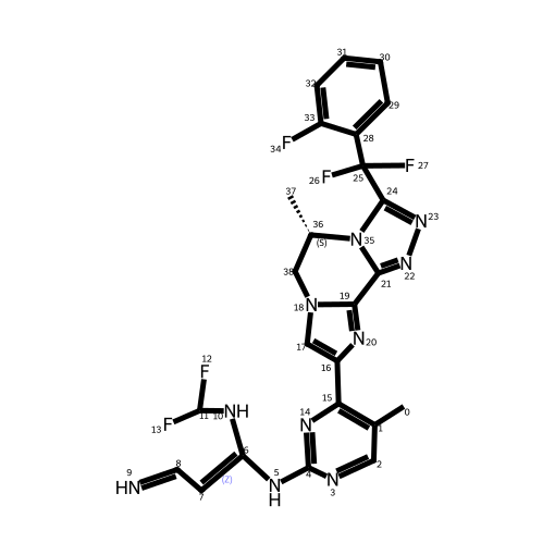 Cc1cnc(N/C(=C/C=N)NC(F)F)nc1-c1cn2c(n1)-c1nnc(C(F)(F)c3ccccc3F)n1[C@@H](C)C2